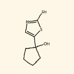 OC1(c2cnc(S)s2)CCCC1